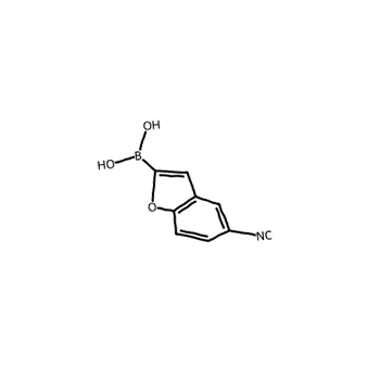 [C-]#[N+]c1ccc2oc(B(O)O)cc2c1